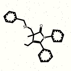 CCC1=C(c2ccccc2)N(c2ccccc2)C(=O)C1(C)C[Se]Cc1ccccc1